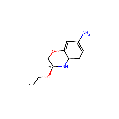 [2H]CO[C@H]1COC2=CC(N)=CCC2N1